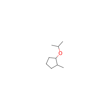 CC(C)OC1CCCC1C